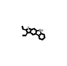 C=Cc1sc2cc3c(cc2c1C=C)-c1ccccc1B3